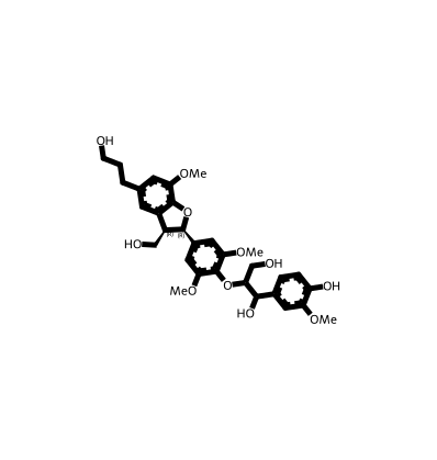 COc1cc(C(O)C(CO)Oc2c(OC)cc([C@@H]3Oc4c(OC)cc(CCCO)cc4[C@@H]3CO)cc2OC)ccc1O